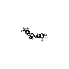 CCC1=Nc2ncc(CN3CCN(c4ccc(C(=O)NC)nc4)[C@H]4CC[C@H]43)cc2NC1O